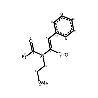 CCC(=O)N(CCOC)C([C]=O)=Cc1ccccc1